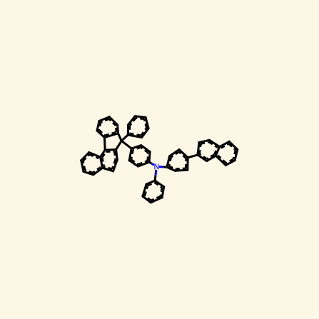 c1ccc(N(c2ccc(-c3ccc4ccccc4c3)cc2)c2ccc(C3(c4ccccc4)c4ccccc4-c4c3ccc3ccccc43)cc2)cc1